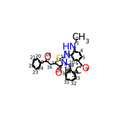 CCNc1ccc(C(C)=O)cc1/N=C1/SC(CC(=O)c2ccccc2)C(=O)N1Cc1ccccc1